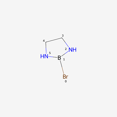 BrB1NCCN1